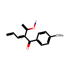 C=C/C=C(\C(=C)OI)C(=O)c1ccc(OC)cc1